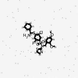 COc1ccc(CN(c2nccs2)S(=O)(=O)c2cc(Cl)c(S[C@@H](N)c3ccccc3)cc2F)c(OC)c1